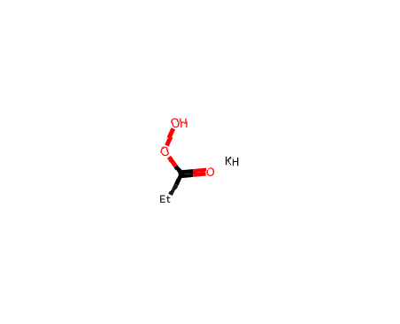 CCC(=O)OO.[KH]